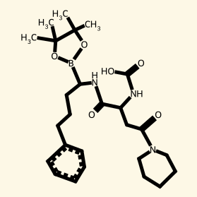 CC1(C)OB(C(CCCc2ccccc2)NC(=O)C(CC(=O)N2CCCCC2)NC(=O)O)OC1(C)C